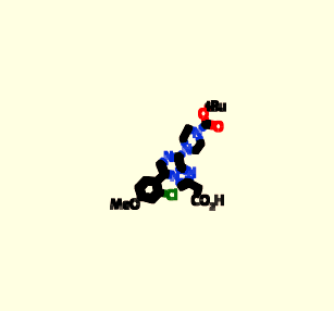 COc1ccc(-c2cnc(N3CCN(C(=O)OC(C)(C)C)CC3)c3nc(CC(=O)O)cn23)c(Cl)c1